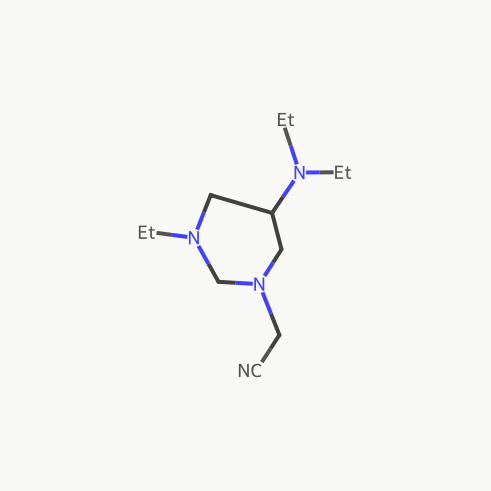 CCN1CC(N(CC)CC)CN(CC#N)C1